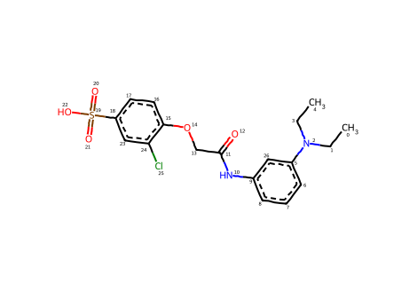 CCN(CC)c1cccc(NC(=O)COc2ccc(S(=O)(=O)O)cc2Cl)c1